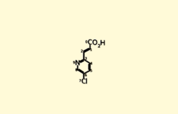 O=C(O)/C=C/c1ccc(Cl)cn1